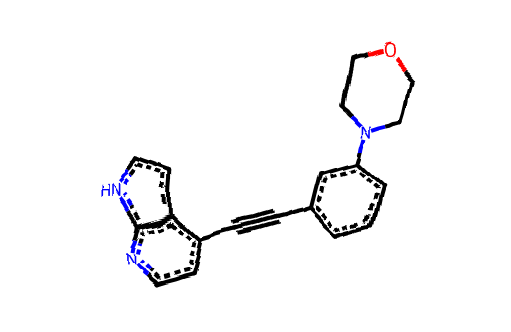 C(#Cc1ccnc2[nH]ccc12)c1cccc(N2CCOCC2)c1